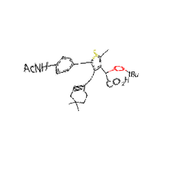 CC(=O)Nc1ccc(-c2sc(C)c(C(OC(C)(C)C)C(=O)O)c2C2=CCC(C)(C)CC2)cc1